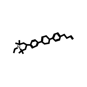 C=CCCc1ccc(C2CC=C(c3ccc(C4CC(C)(C)N(CC)C(C)(C)C4)cc3)CC2)cc1